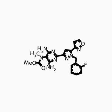 COC(=O)N(C)c1c(N)nc(-c2cc(-c3ccon3)n(Cc3ccccc3F)n2)nc1N